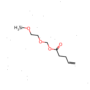 C=CCCC(=O)OCOCCO[SiH3]